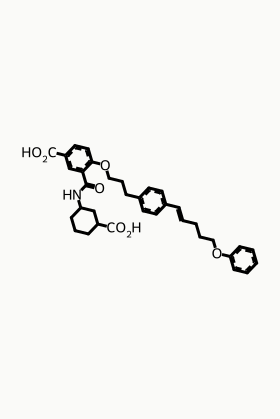 O=C(O)c1ccc(OCCCc2ccc(C=CCCCOc3ccccc3)cc2)c(C(=O)NC2CCCC(C(=O)O)C2)c1